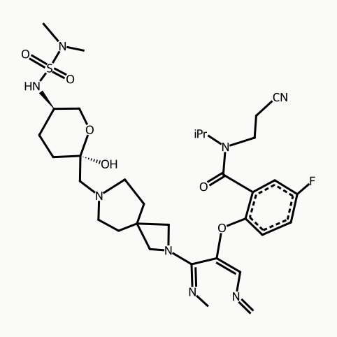 C=N/C=C(Oc1ccc(F)cc1C(=O)N(CCC#N)C(C)C)\C(=N/C)N1CC2(CCN(C[C@@]3(O)CC[C@@H](NS(=O)(=O)N(C)C)CO3)CC2)C1